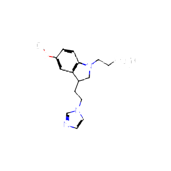 CCOc1ccc2c(c1)C(CCn1ccnc1)CN2CCC(=O)O